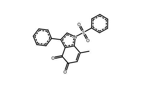 CC1=CC(=O)C(=O)c2c(-c3ccccc3)cn(S(=O)(=O)c3ccccc3)c21